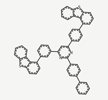 c1ccc(-c2ccc(-c3nc(-c4ccc(-c5cccc6sc7ccccc7c56)cc4)cc(-c4cccc(-c5cccc6sc7ccccc7c56)c4)n3)cc2)cc1